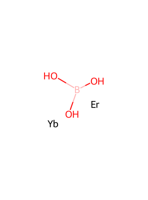 OB(O)O.[Er].[Yb]